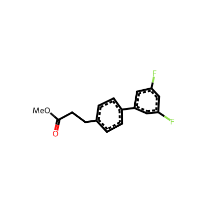 COC(=O)CCc1ccc(-c2cc(F)cc(F)c2)cc1